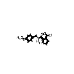 COc1ccc(CNc2nnc(Cl)c3cc[nH]c23)cc1